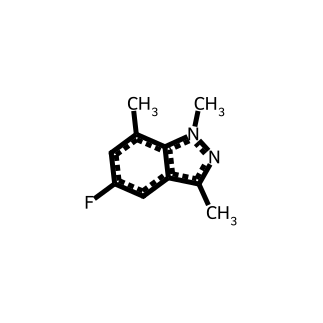 Cc1nn(C)c2c(C)cc(F)cc12